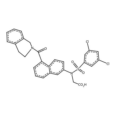 O=C(O)CN(c1ccc2c(C(=O)N3CCc4ccccc4C3)cccc2c1)S(=O)(=O)c1cc(Cl)cc(Cl)c1